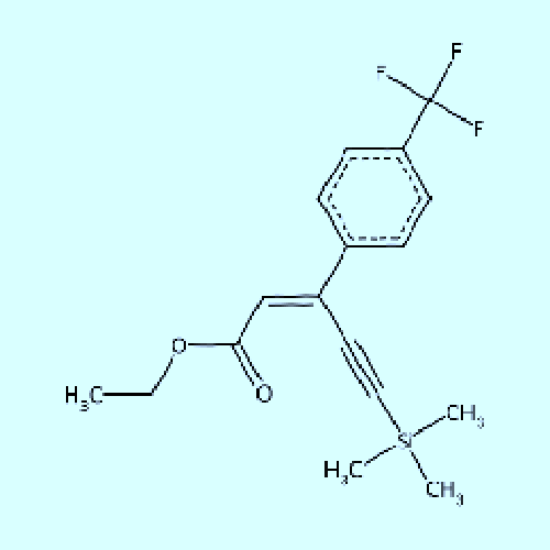 CCOC(=O)C=C(C#C[Si](C)(C)C)c1ccc(C(F)(F)F)cc1